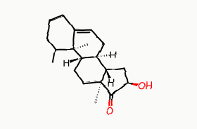 CC1CCCC2=CC[C@H]3[C@@H]4C[C@@H](O)C(=O)[C@@]4(C)CC[C@@H]3[C@]21C